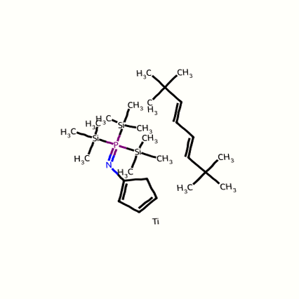 CC(C)(C)C=CC=CC(C)(C)C.C[Si](C)(C)P(=NC1=CC=CC1)([Si](C)(C)C)[Si](C)(C)C.[Ti]